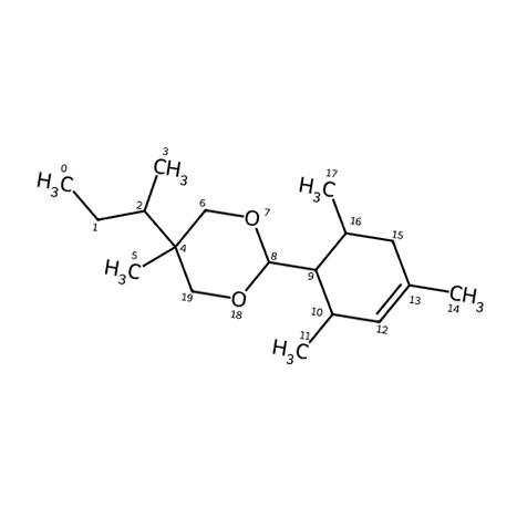 CCC(C)C1(C)COC(C2C(C)C=C(C)CC2C)OC1